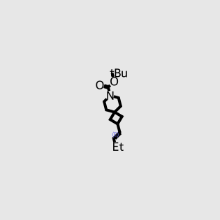 CC/C=C/C1CC2(CCN(C(=O)OC(C)(C)C)CC2)C1